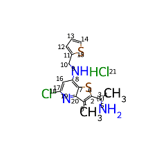 Cc1c([C@H](C)N)sc2c(NCc3cccs3)cc(Cl)nc12.Cl